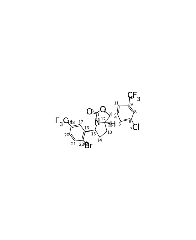 O=C1O[C@H](c2cc(Cl)cc(C(F)(F)F)c2)[C@@H]2CC[C@@H](c3cc(C(F)(F)F)ccc3Br)N12